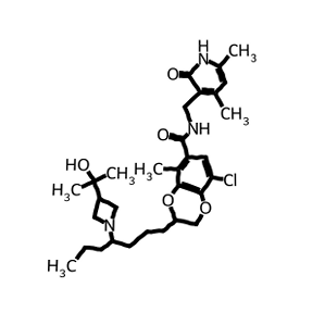 CCCC(CCCC1COc2c(Cl)cc(C(=O)NCc3c(C)cc(C)[nH]c3=O)c(C)c2O1)N1CC(C(C)(C)O)C1